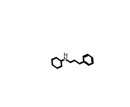 c1ccc(CCCNC2CCCCC2)cc1